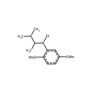 CCN(c1cc(OC)ccc1OC)C(C)N(C)C